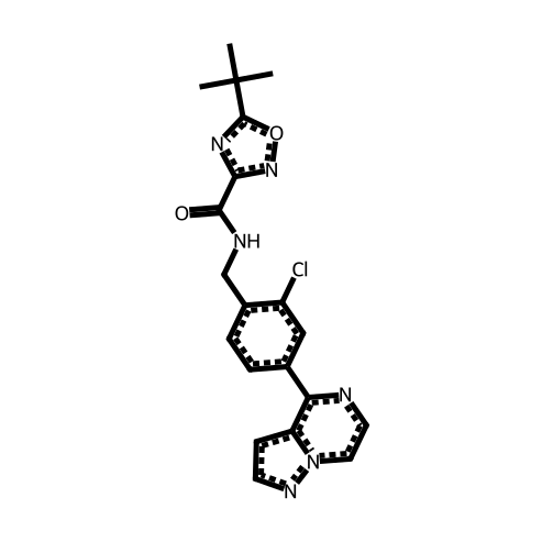 CC(C)(C)c1nc(C(=O)NCc2ccc(-c3nccn4nccc34)cc2Cl)no1